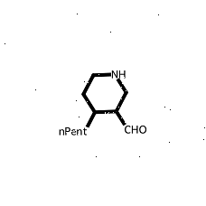 CCCCCC1CCNCC1C=O